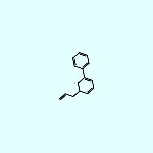 C=CCC1[CH]C(c2ccccc2)=CC=C1